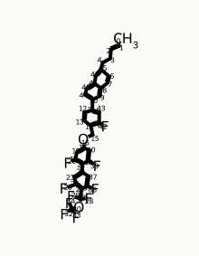 C/C=C/CCc1ccc2cc(-c3ccc(COc4cc(F)c(-c5cc(F)c(C(F)(F)OC(F)(F)F)c(F)c5)c(F)c4)c(F)c3)ccc2c1